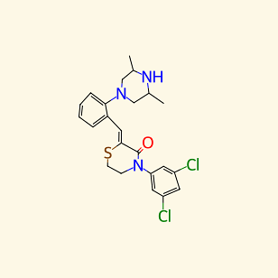 CC1CN(c2ccccc2/C=C2\SCCN(c3cc(Cl)cc(Cl)c3)C2=O)CC(C)N1